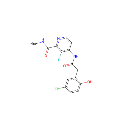 CC(C)(C)NC(=O)c1nccc(NC(=O)Cc2cc(Cl)ccc2O)c1F